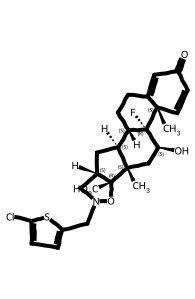 C[C@]12C=CC(=O)C=C1CC[C@H]1[C@@H]3C[C@H]4CN(Cc5ccc(Cl)s5)O[C@@]4(C(=O)O)[C@@]3(C)C[C@H](O)[C@@]12F